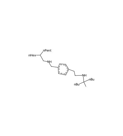 CCCCCCC(CCCCC)CNCc1ccc(CCNC(C)(CCCC)CCCC)cc1